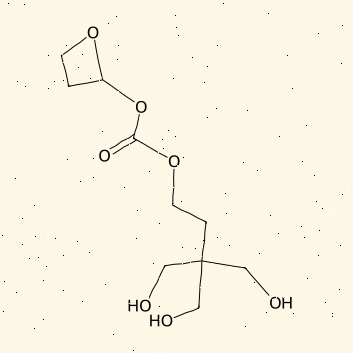 O=C(OCCC(CO)(CO)CO)OC1CCO1